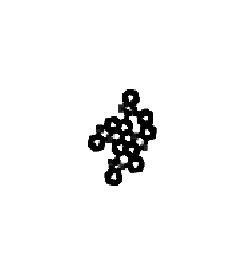 c1ccc(-n2c(-c3ccc(-c4ccc(-c5nc6ccccc6n5-c5ccccc5)cc4N4c5ccccc5Sc5ccccc54)c(N4c5ccccc5Oc5ccccc54)c3)nc3ccccc32)cc1